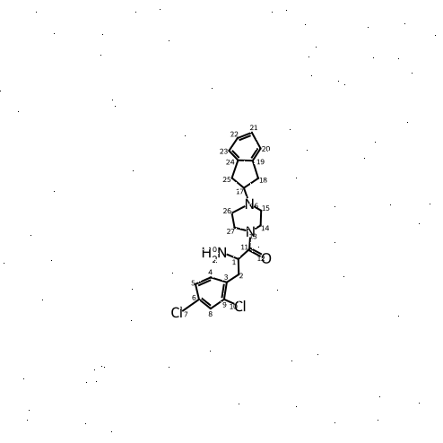 NC(Cc1ccc(Cl)cc1Cl)C(=O)N1CCN(C2Cc3ccccc3C2)CC1